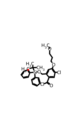 COCCCOc1cc(CO[Si](c2ccccc2)(c2ccccc2)C(C)(C)C)c(C(=O)Cl)cc1Cl